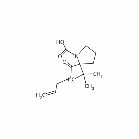 C=CCCC(=O)C1(C(C)(C)C)CCCN1C(=O)O